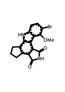 COc1c(Br)ccc2[nH]c3c4c(c5c(c3c12)C(=O)NC5=O)CCC4